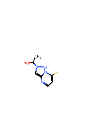 C[C@H](O)N1C=C2N=CC=C([S])N2N1